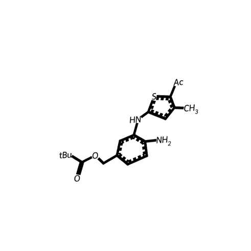 CC(=O)c1sc(Nc2cc(COC(=O)C(C)(C)C)ccc2N)cc1C